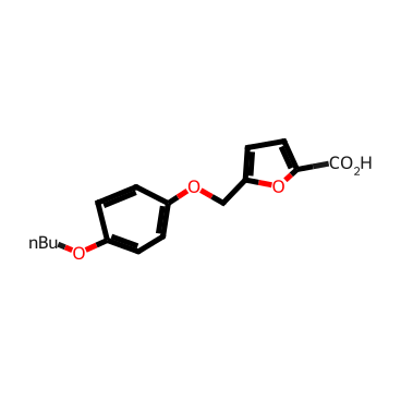 CCCCOc1ccc(OCc2ccc(C(=O)O)o2)cc1